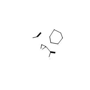 O=C(O)[C@H]1O[C@@]1(C(=O)O)C1CCCCC1